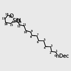 CCCCCCCCCCCCCCCCCCCCCCO[SiH]1CCCCO1